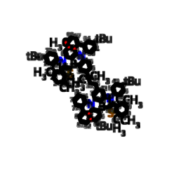 Cc1cc2c3c(c1)N(c1ccc(C(C)(C)C)cc1)c1c(sc4c1C(C)(C)CCC4(C)C)B3c1cc(C(C)(C)CCc3cc4c5c(c3)N(c3ccc(C(C)(C)C)cc3)c3c(sc6c3C(C)(C)CCC6(C)C)B5c3cc(C(C)(C)C)ccc3N4c3ccccc3-c3ccccc3)ccc1N2c1ccc(C(C)(C)C)cc1-c1ccccc1